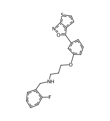 Fc1ccccc1CNCCCOc1cccc(-c2onc3sccc23)c1